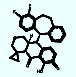 O=C1c2c(O)c(=O)ccn2N([C@@H]2c3ccccc3SCc3c2ccc(F)c3F)[C@@H]2COCC3(CC3)N12